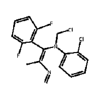 C=N/C(C)=C(/c1c(F)cccc1F)N(CCl)c1ccccc1Cl